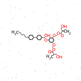 C=C(CO)C(=O)OCOc1cc(OCOC(=O)C(C)CO)cc(OC(O)c2ccc(-c3ccc(CCCCC)cc3)cc2)c1